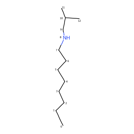 CCCCCCCCNCC(C)C